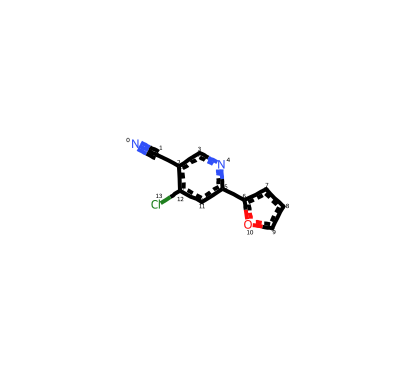 N#Cc1cnc(-c2ccco2)cc1Cl